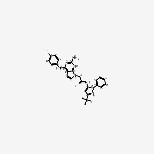 CC(C)(C)c1cc(NC(=O)Cn2cnc3c(Nc4ccc(F)cc4)nc(N)nc32)n(-c2ccccc2)n1